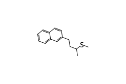 CSC(C)CCc1ccc2ccccc2c1